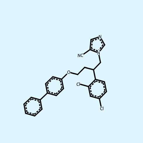 N#Cc1cncn1CC(CCOc1ccc(-c2ccccc2)cc1)c1ccc(Cl)cc1Cl